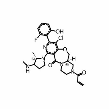 C=CC(=O)N1CCN2C(=O)c3c(N4CCC(NC)[C@@H]4C)nc(-c4c(O)cccc4F)c(Cl)c3OC[C@H]2C1